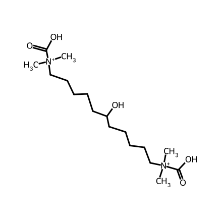 C[N+](C)(CCCCCC(O)CCCCC[N+](C)(C)C(=O)O)C(=O)O